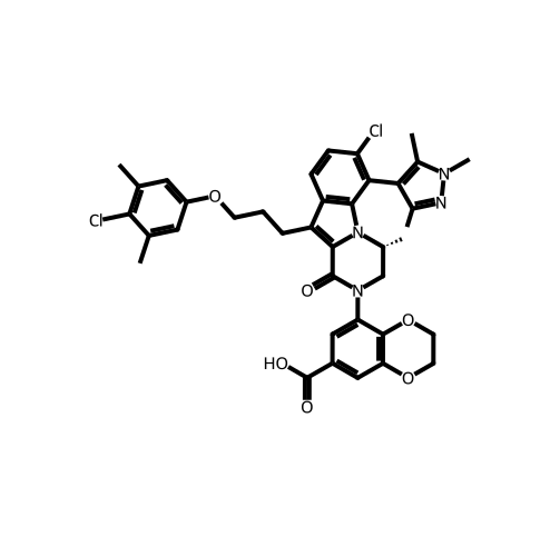 Cc1cc(OCCCc2c3n(c4c(-c5c(C)nn(C)c5C)c(Cl)ccc24)[C@H](C)CN(c2cc(C(=O)O)cc4c2OCCO4)C3=O)cc(C)c1Cl